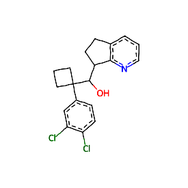 OC(C1CCc2cccnc21)C1(c2ccc(Cl)c(Cl)c2)CCC1